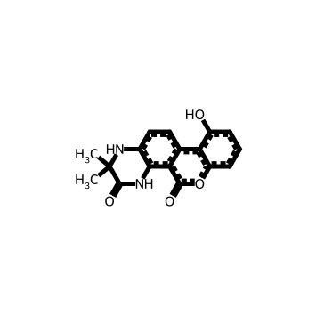 CC1(C)Nc2ccc3c(c2NC1=O)c(=O)oc1cccc(O)c13